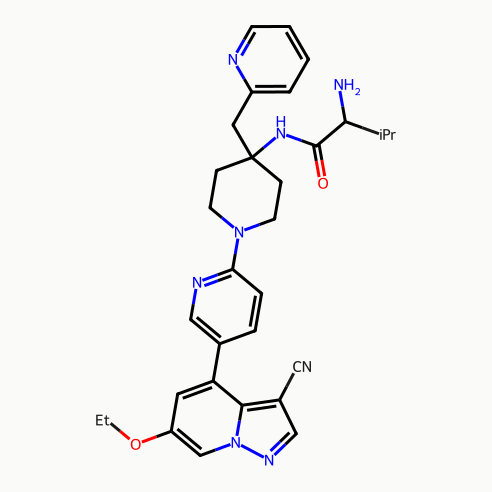 CCOc1cc(-c2ccc(N3CCC(Cc4ccccn4)(NC(=O)C(N)C(C)C)CC3)nc2)c2c(C#N)cnn2c1